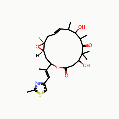 C/C(=C\c1csc(C)n1)C1C[C@H]2O[C@@]2(C)C/C=C/C(C)C(O)C(C)C(=O)C(C)(C)C(O)CC(=O)O1